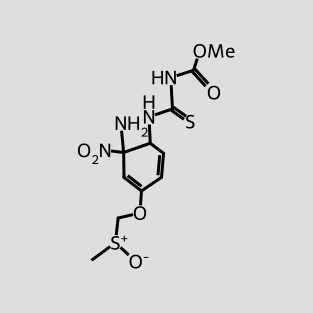 COC(=O)NC(=S)NC1C=CC(OC[S+](C)[O-])=CC1(N)[N+](=O)[O-]